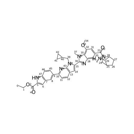 CCOC(=O)c1cc2cc(-c3ccc4cc(-c5nc6cc(C(=O)N7CC8CCC7C8N)cc(OC)c6n5C)n(CC5CC5)c4n3)ccc2[nH]1